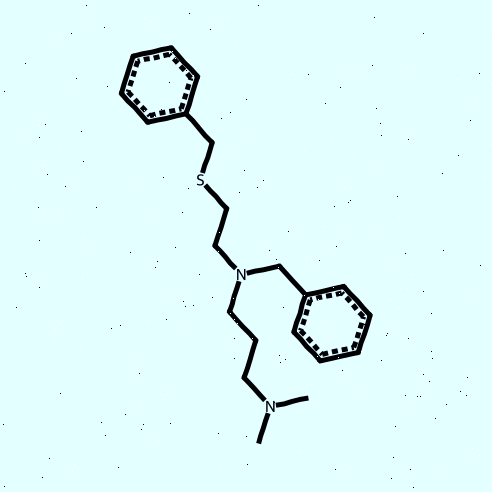 CN(C)CCCN(CCSCc1ccccc1)Cc1ccccc1